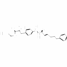 C[C@H]([SiH3])OC(=O)[C@@H](N)Cc1ccc(NNC(=O)/C=C/CCCc2ccccc2)cc1